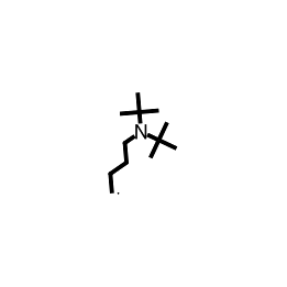 [CH2]CCCN(C(C)(C)C)C(C)(C)C